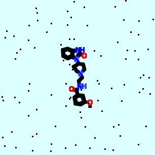 COc1cccc(C(=O)NCCN2CCC(n3c(=O)[nH]c4ccccc43)CC2)c1